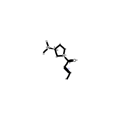 C/C=C/C(=O)N1CC[C@H](N(C)C)C1